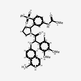 COC(=O)Nc1ccc(S(=O)(=O)C(C)C)c(C2CCCN2C(=O)C(Oc2ccc3c(N)nccc3c2)c2cc(OC)c(OC)cc2F)c1